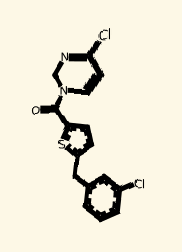 O=C(c1ccc(Cc2cccc(Cl)c2)s1)N1C=CC(Cl)=NC1